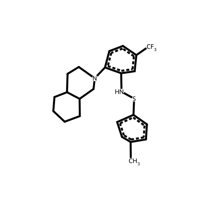 Cc1ccc(SNc2cc(C(F)(F)F)ccc2N2CCC3CCCCC3C2)cc1